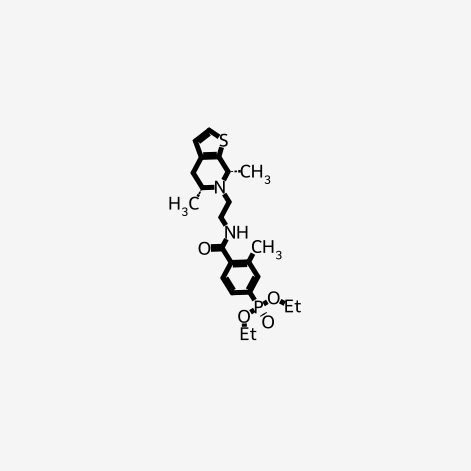 CCOP(=O)(OCC)c1ccc(C(=O)NCCN2[C@H](C)Cc3ccsc3[C@@H]2C)c(C)c1